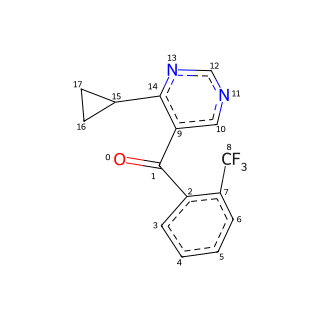 O=C(c1ccccc1C(F)(F)F)c1cncnc1C1CC1